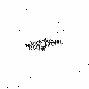 Nc1nc2c(ncn2[C@@H]2OC3C[C@H]2OP(=O)(S)OC[C@H]2O[C@@H](n4ccc5c(N)ncnc54)[C@H](O)[C@@H]2CCO3)c(=O)[nH]1